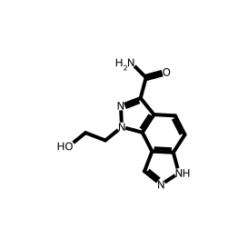 NC(=O)c1nn(CCO)c2c1ccc1[nH]ncc12